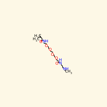 CCNCCCNC(=O)CCOCCOCCOCCOCCNC(=O)CC(C)C